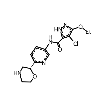 CCOc1n[nH]c(C(=O)Nc2ccc([C@H]3CNCCO3)nc2)c1Cl